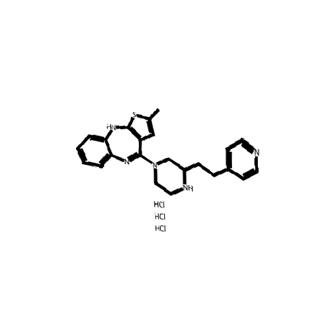 Cc1cc2c(s1)Nc1ccccc1N=C2N1CCNC(CCc2ccncc2)C1.Cl.Cl.Cl